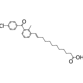 Cc1c(C=CCCCCCCCCCC(=O)O)cccc1C(=O)c1ccc(Cl)cc1